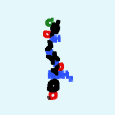 COc1ccc(-n2ncc(C(=O)N3CC4CN(CCCNC(=O)c5ccc(C)c(Cl)c5)CC4C3)c2N)cc1